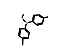 CO[Si](c1ccc(C)cc1)c1ccc(C)cc1